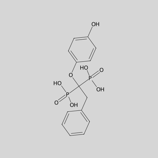 O=P(O)(O)C(Cc1ccccc1)(Oc1ccc(O)cc1)P(=O)(O)O